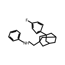 Fc1ccc(C23CC4CC(CC(CCNc5ccccc5)(C4)C2)C3)cc1